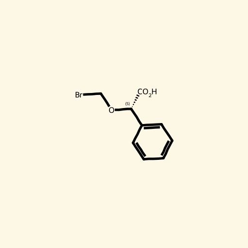 O=C(O)[C@@H](OCBr)c1ccccc1